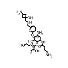 CC[C@@H](O)[C@H](OCCO)O[C@@H]1[C@@H](O)[C@H](O[C@@H]2CCC=C(CNCC3(O)CC(N)C3)O2)[C@@H](N)C[C@H]1NC(=O)CCCN